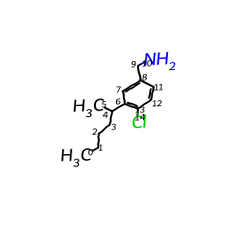 CCCCC(C)c1cc(CN)ccc1Cl